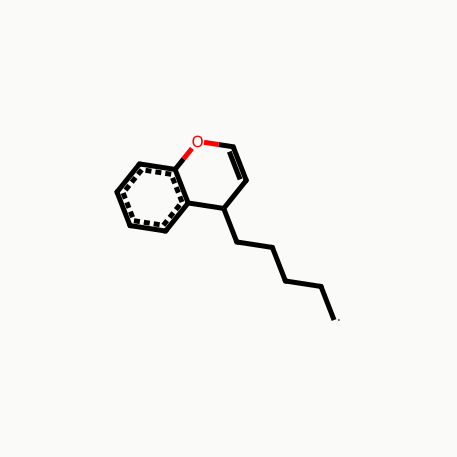 [CH2]CCCCC1C=COc2ccccc21